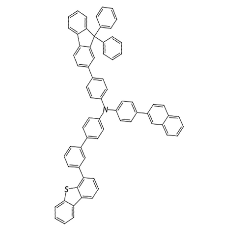 c1ccc(C2(c3ccccc3)c3ccccc3-c3ccc(-c4ccc(N(c5ccc(-c6cccc(-c7cccc8c7sc7ccccc78)c6)cc5)c5ccc(-c6ccc7ccccc7c6)cc5)cc4)cc32)cc1